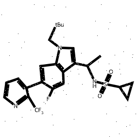 CC(NS(=O)(=O)C1CC1)c1cn(CC(C)(C)C)c2cc(-c3cccnc3C(F)(F)F)c(F)cc12